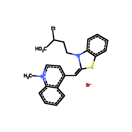 CCC(CCN1C(=Cc2cc[n+](C)c3ccccc23)Sc2ccccc21)C(=O)O.[Br-]